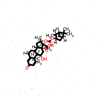 C[C@@H]1[C@@H](OC(=O)O[C@@]2(C(=O)O)[C@H](C)C[C@H]3[C@@H]4C[C@H](F)C5=CC(=O)C=C[C@]5(C)C4(F)[C@@H](O)C[C@@]32C)C[C@H]2C[C@@H]1C2(C)C